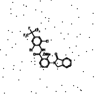 CCc1cc(C(F)(C(F)(F)F)C(F)(F)F)cc(Cl)c1NC(=O)c1cccc(N2Cc3ccccc3C2=O)c1OC